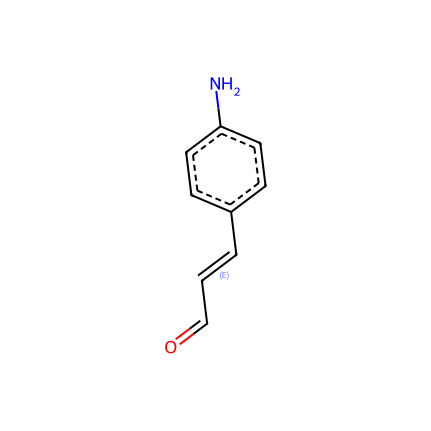 Nc1ccc(/C=C/C=O)cc1